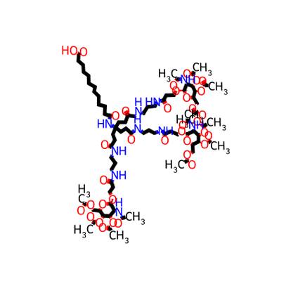 CC(=O)NC1C(OC(C)=O)C(OC(C)=O)C(COC(C)=O)O[C@H]1OCCC(=O)NCCCNC(=O)CCC(CCC(=O)CNCCCNC(=O)CCO[C@@H]1OC(COC(C)=O)[C@H](OC(C)=O)C(OC(C)=O)C1NC(C)=O)(CCC(=O)NCCCNC(=O)CCO[C@@H]1OC(COC(C)=O)[C@H](OC(C)=O)C(OC(C)=O)C1NC(C)=O)NC(=O)CCCCCCCCCCCC(=O)O